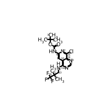 CC(C)(C)OC(=O)Nc1cc2c(NCC(C)(C)C(F)(F)F)ncnc2c(Cl)n1